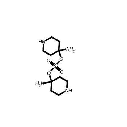 NC1(OS(=O)(=O)OC2(N)CCNCC2)CCNCC1